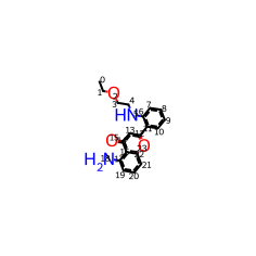 CCOCCNc1ccccc1-c1cc(=O)c2c(N)cccc2o1